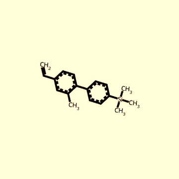 C=Cc1ccc(-c2ccc([Si](C)(C)C)cc2)c(C)c1